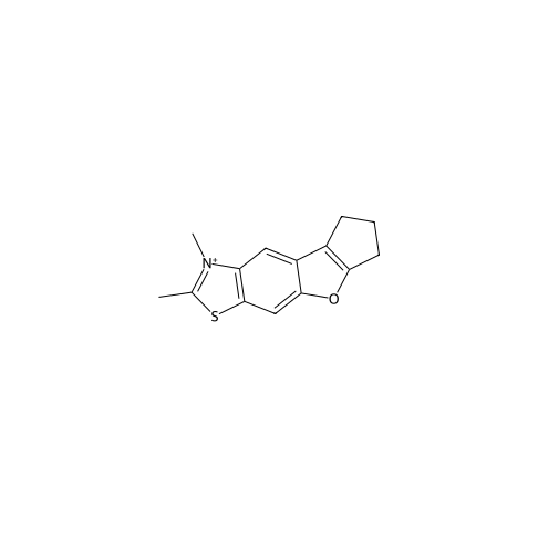 Cc1sc2cc3oc4c(c3cc2[n+]1C)CCC4